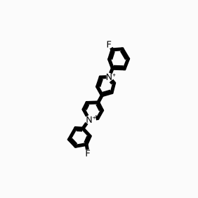 Fc1cccc(-[n+]2ccc(-c3cc[n+](-c4cccc(F)c4)cc3)cc2)c1